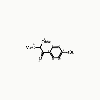 COC(OC)C(=O)c1ccc(C(C)(C)C)cc1